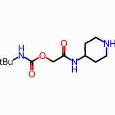 CC(C)(C)NC(=O)OCC(=O)NC1CCNCC1